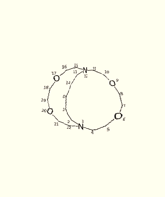 C1CCN2CCOCCOCCN(CC1)CCOCCOCC2